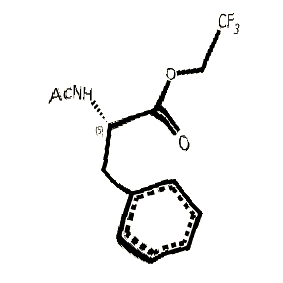 CC(=O)N[C@@H](Cc1ccccc1)C(=O)OCC(F)(F)F